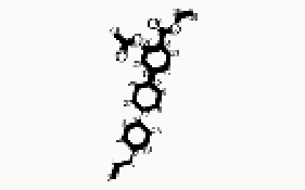 CCC[C@H]1CC[C@H](C2CCC(C3CCC(C(=O)OCC)=C(OC(C)=O)C3)CC2)CC1